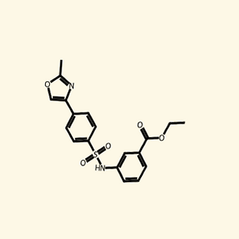 CCOC(=O)c1cccc(NS(=O)(=O)c2ccc(-c3coc(C)n3)cc2)c1